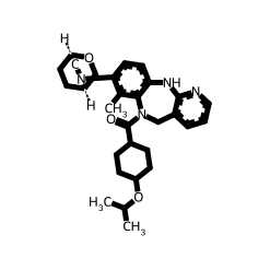 Cc1c(N2C[C@H]3CC[C@@H]2CO3)ccc2c1N(C(=O)C1CCC(OC(C)C)CC1)Cc1cccnc1N2